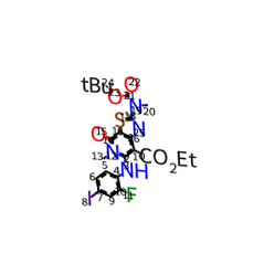 CCOC(=O)c1c(Nc2ccc(I)cc2F)n(C)c(=O)c2sc(N(C)C(=O)OC(C)(C)C)nc12